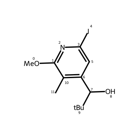 COc1nc(I)cc(C(O)C(C)(C)C)c1C